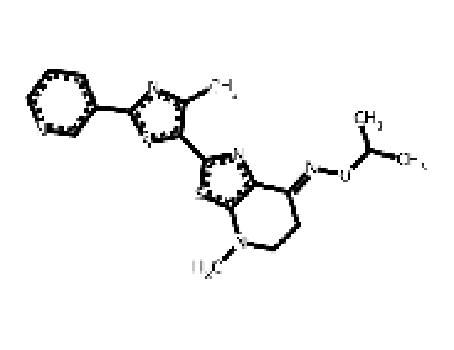 Cc1nc(-c2cccnc2)sc1-c1nc2c(s1)N(C)CC/C2=N\OC(C)C